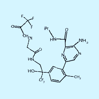 Cc1ccc(C(O)(CNC(=O)CC#N)C(F)(F)F)cc1-c1cnc(N)c(C(=O)NC(C)C)n1.O=C(O)C(F)(F)F